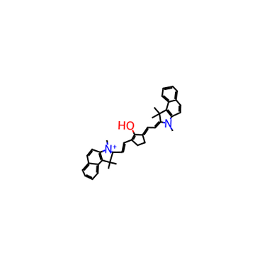 CN1/C(=C/C=C2\CCC(/C=C/C3=[N+](C)c4ccc5ccccc5c4C3(C)C)=C2O)C(C)(C)c2c1ccc1ccccc21